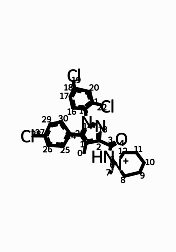 Cc1c(C(=O)N[N+]2(C)CCCCC2)nn(-c2ccc(Cl)cc2Cl)c1-c1ccc(Cl)cc1